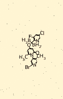 BC(B)(Oc1cc(C)n(-c2cc(Br)ncc2C)c(=O)c1)c1ncc(Cl)cc1F